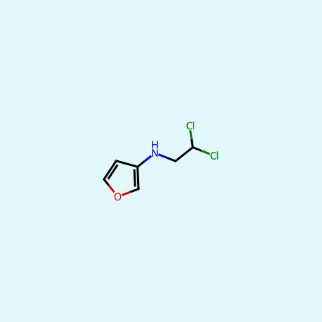 ClC(Cl)CNc1ccoc1